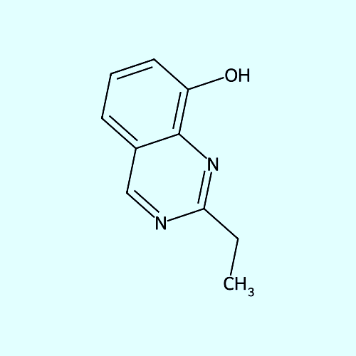 CCc1ncc2cccc(O)c2n1